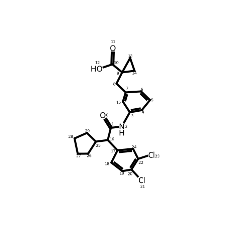 O=C(Nc1cccc(CC2(C(=O)O)CC2)c1)C(c1ccc(Cl)c(Cl)c1)C1CCCC1